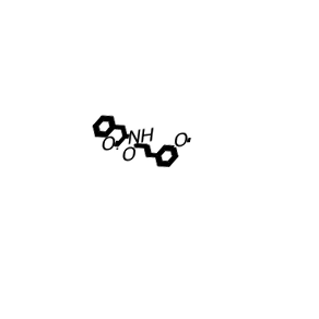 COc1cccc(/C=C/C(=O)NC([C]=O)Cc2ccccc2)c1